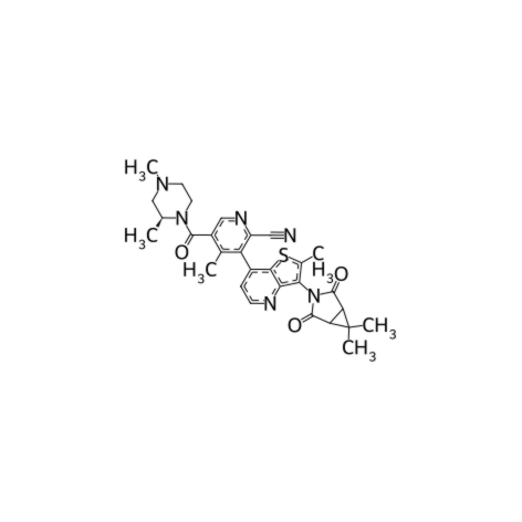 Cc1sc2c(-c3c(C#N)ncc(C(=O)N4CCN(C)C[C@@H]4C)c3C)ccnc2c1N1C(=O)C2C(C1=O)C2(C)C